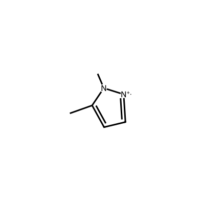 CC1=CC=[N+]N1C